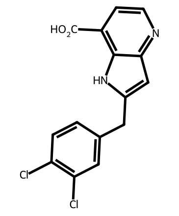 O=C(O)c1ccnc2cc(Cc3ccc(Cl)c(Cl)c3)[nH]c12